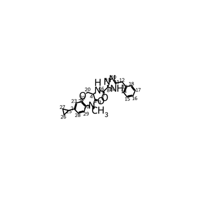 CN1C(=O)C(NC(=O)c2nnc(Cc3ccccc3)[nH]2)COc2cc(C3CC3)ccc21